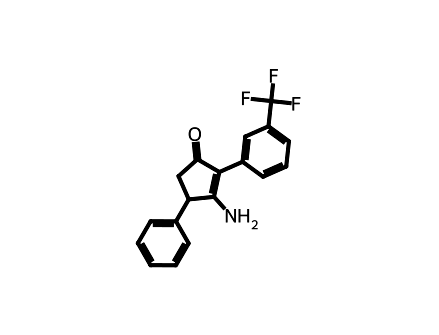 NC1=C(c2cccc(C(F)(F)F)c2)C(=O)CC1c1ccccc1